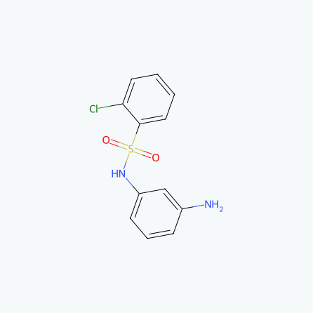 Nc1cccc(NS(=O)(=O)c2ccccc2Cl)c1